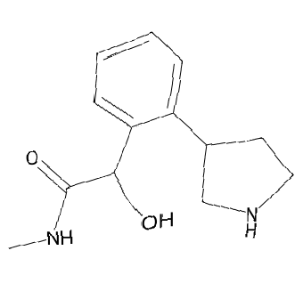 CNC(=O)C(O)c1ccccc1C1CCNC1